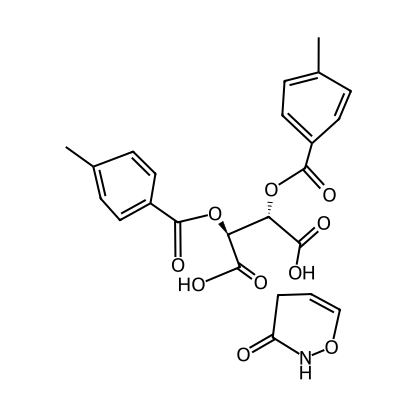 Cc1ccc(C(=O)O[C@H](C(=O)O)[C@H](OC(=O)c2ccc(C)cc2)C(=O)O)cc1.O=C1CC=CON1